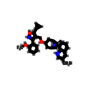 C[C@@H]1CC2CC(OCc3c(-c4ccccc4OC(F)(F)F)noc3C3CC3)CC1N2c1cccc2cc(C(=O)O)cnc12